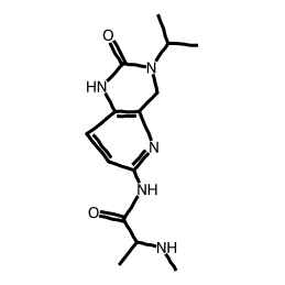 CNC(C)C(=O)Nc1ccc2c(n1)CN(C(C)C)C(=O)N2